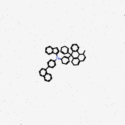 CC1C=CC2=CCCC3=C2C1c1ccccc1C3(C1=CCCC=C1)C1=CC(N(C2=C=Cc3ccccc32)c2ccc(-c3cccc4ccccc34)cc2)CC=C1